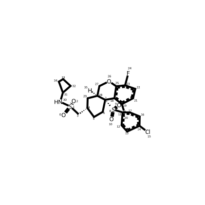 O=S(=O)(C[C@H]1CC[C@]2(S(=O)(=O)c3ccc(Cl)cc3)c3c(F)ccc(F)c3OC[C@@H]2C1)NC1CCC1